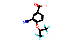 N#Cc1cc(C(=O)O)ccc1OC(C(F)(F)F)C(F)(F)F